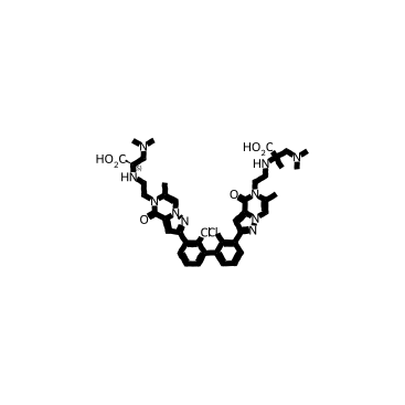 Cc1cn2nc(-c3cccc(-c4cccc(-c5cc6c(=O)n(CCNC(C)(CN(C)C)C(=O)O)c(C)cn6n5)c4Cl)c3Cl)cc2c(=O)n1CCN[C@@H](CN(C)C)C(=O)O